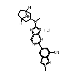 CN(c1nc2cnc(-c3cc(C#N)c4nn(C)cc4c3)nc2s1)[C@@H]1C[C@H]2CC[C@@H](C1)N2.Cl